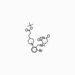 CC(C)(C)OC(=O)CCC1CCN(c2cccc(Br)c2CNC2CCC(=O)NC2=O)CC1